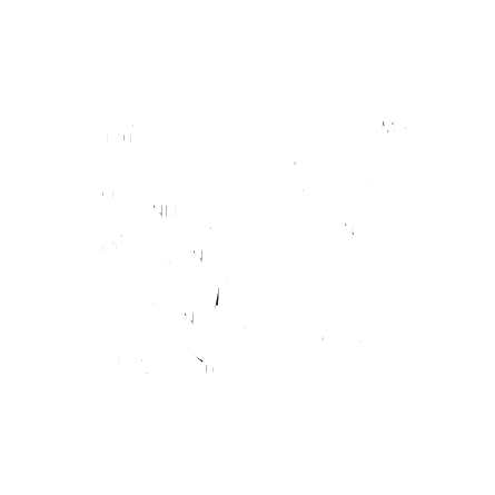 CCC[C@H](NC(=S)[C@@H]1CC(Oc2cc(-c3ccccc3)nc3cc(OC)ccc23)CN1C(=O)[C@@H](NC(=O)OC(C)(C)C)C(C)C)C(=O)O